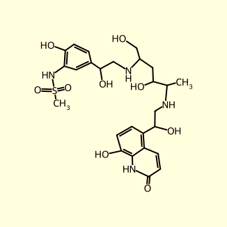 CC(NCC(O)c1ccc(O)c2[nH]c(=O)ccc12)C(O)CC(CO)NCC(O)c1ccc(O)c(NS(C)(=O)=O)c1